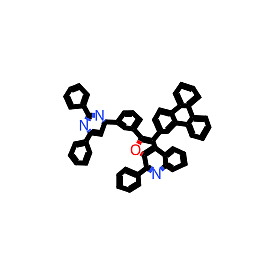 c1ccc(-c2cc(-c3cccc(-c4oc5c(-c6ccccc6)nc6ccccc6c5c4-c4ccc5c6ccccc6c6ccccc6c5c4)c3)nc(-c3ccccc3)n2)cc1